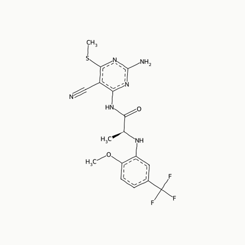 COc1ccc(C(F)(F)F)cc1N[C@@H](C)C(=O)Nc1nc(N)nc(SC)c1C#N